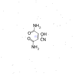 N#CO.NC(=O)/C=C\C(N)=O